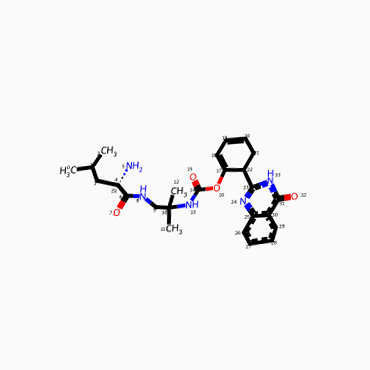 CC(C)C[C@H](N)C(=O)NCC(C)(C)NC(=O)OC1=CC=CCC1c1nc2ccccc2c(=O)[nH]1